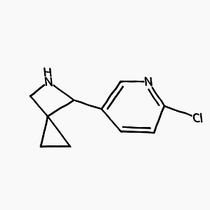 Clc1ccc(C2NCC23CC3)cn1